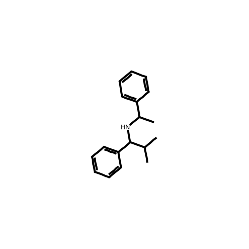 CC(NC(c1ccccc1)C(C)C)c1ccccc1